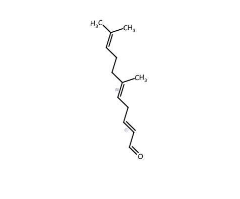 CC(C)=CCC/C(C)=C/C/C=C/C=O